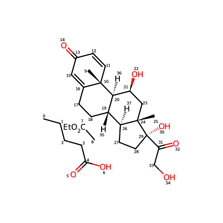 CCCCC(=O)O.CCOC(C)=O.C[C@]12C=CC(=O)C=C1CC[C@@H]1[C@@H]2[C@@H](O)C[C@@]2(C)[C@H]1CC[C@]2(O)C(=O)CO